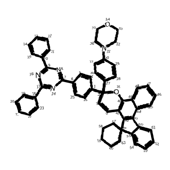 C1=CC(c2ccc(-c3nc(-c4ccccc4)nc(-c4ccccc4)n3)cc2)(c2ccc(N3CCOCC3)cc2)Oc2c1c1c(c3ccccc23)-c2ccccc2C12CCCCC2